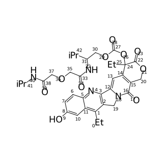 CCc1c2c(nc3ccc(O)cc13)-c1cc3c(c(=O)n1C2)COC(=O)C3(CC)OC(=O)OCC(NC(=O)COCC(=O)NC(C)C)C(C)C